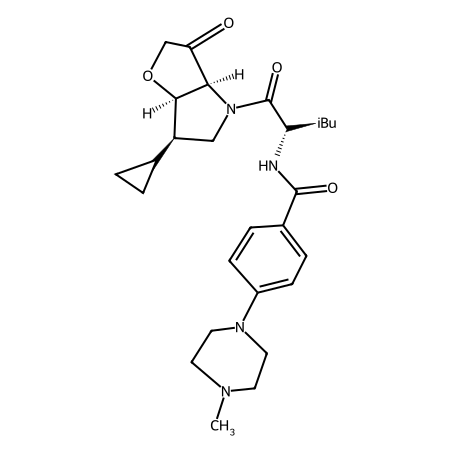 CC[C@H](C)[C@H](NC(=O)c1ccc(N2CCN(C)CC2)cc1)C(=O)N1C[C@@H](C2CC2)[C@H]2OCC(=O)[C@H]21